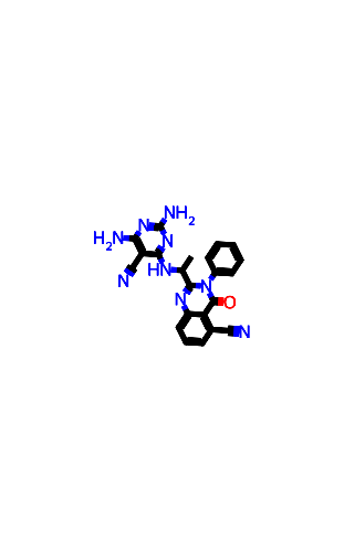 CC(Nc1nc(N)nc(N)c1C#N)c1nc2cccc(C#N)c2c(=O)n1-c1ccccc1